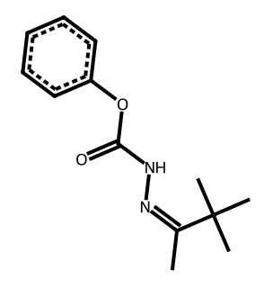 C/C(=N/NC(=O)Oc1ccccc1)C(C)(C)C